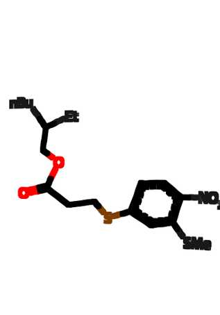 CCCCC(CC)COC(=O)CCSc1ccc([N+](=O)[O-])c(SC)c1